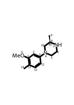 COc1cc(N2CCN[C@H](C)C2)ccc1C